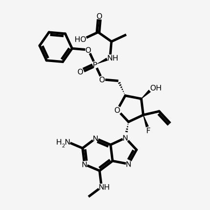 C=C[C@@]1(F)[C@H](O)[C@@H](CO[P@@](=O)(NC(C)C(=O)O)Oc2ccccc2)O[C@H]1n1cnc2c(NC)nc(N)nc21